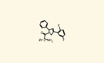 CC(C)[C@@H](N)C(=O)N1CC(c2cc(F)ccc2F)=CC1c1ccccc1